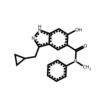 CN(C(=O)c1cc2c(CC3CC3)n[nH]c2cc1O)c1ccccc1